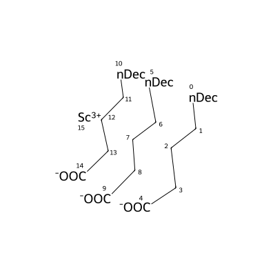 CCCCCCCCCCCCCC(=O)[O-].CCCCCCCCCCCCCC(=O)[O-].CCCCCCCCCCCCCC(=O)[O-].[Sc+3]